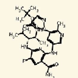 Cc1ncc(Nc2nc(N[C@H](C(C)C)[C@H](C)NC(=O)OC(C)(C)C)c(F)cc2C(N)=O)cc1-n1nccn1